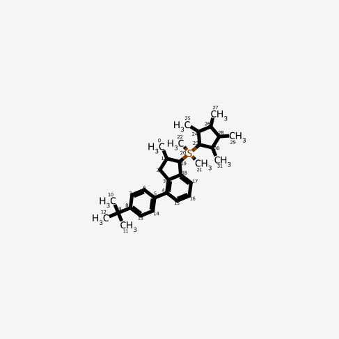 CC1Cc2c(-c3ccc(C(C)(C)C)cc3)cccc2C1S(C)(C)C1C(C)C(C)C(C)C1C